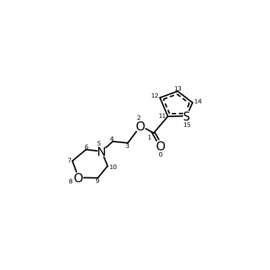 O=C(OCCN1CCOCC1)c1cccs1